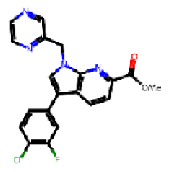 COC(=O)c1ccc2c(-c3ccc(Cl)c(F)c3)cn(Cc3cnccn3)c2n1